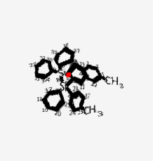 Cc1ccc(CC[Si](C[Si](c2ccccc2)(c2ccccc2)c2ccc(C)cc2)(c2ccccc2)c2ccccc2)cc1